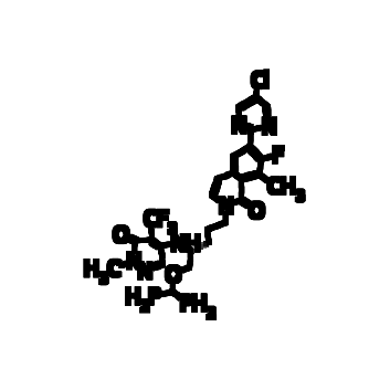 Cc1c(F)c(-c2ncc(Cl)cn2)cc2ccn(CCC[C@H](COC(P)P)Nc3cnn(C)c(=O)c3C(F)(F)F)c(=O)c12